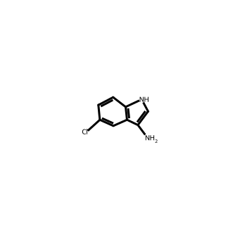 Nc1c[nH]c2ccc(Cl)cc12